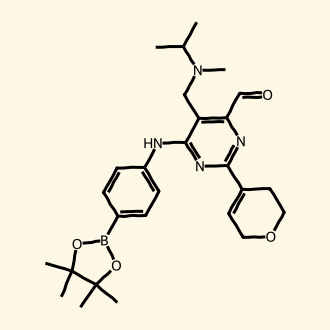 CC(C)N(C)Cc1c(C=O)nc(C2=CCOCC2)nc1Nc1ccc(B2OC(C)(C)C(C)(C)O2)cc1